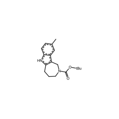 Cc1ccc2[nH]c3c(c2c1)CN(C(=O)OC(C)(C)C)CCC3